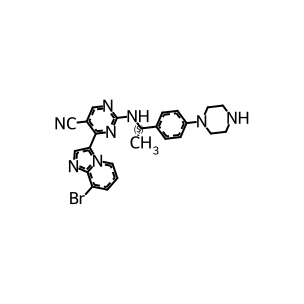 C[C@H](Nc1ncc(C#N)c(-c2cnc3c(Br)cccn23)n1)c1ccc(N2CCNCC2)cc1